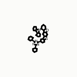 c1ccc(-c2nc(-c3ccccc3)nc(-c3ccc4sc5cc6oc7cccc(-n8c9ccccc9c9ccccc98)c7c6cc5c4c3)n2)cc1